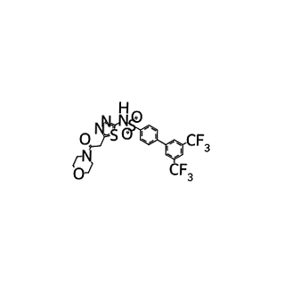 O=C(Cc1nnc(NS(=O)(=O)c2ccc(-c3cc(C(F)(F)F)cc(C(F)(F)F)c3)cc2)s1)N1CCOCC1